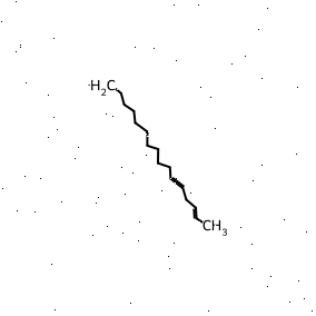 [CH2]CCCCCCCCCC=CCC=CC